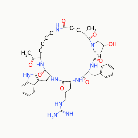 CC(=O)[C@@H]1CCCCNC(=O)CC[C@H](C)C(=O)N2C[C@H](O)C[C@H]2C(=O)N[C@H](Cc2ccccc2)C(=O)N[C@@H](CCCNC(=N)N)C(=O)N[C@@H](Cc2c[nH]c3ccccc23)C(=O)N1